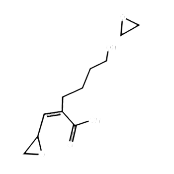 C1CO1.O=C(O)C(=CC1CO1)CCCCO